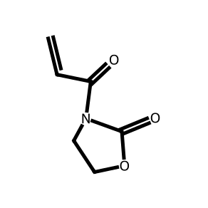 C=CC(=O)N1CCOC1=O